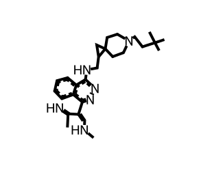 CN/C=C(\C(C)=N)c1nnc(NCC2CC23CCN(CCC(C)(C)C)CC3)c2ccccc12